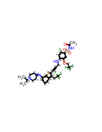 CC(=O)NS(=O)(=O)c1cc(OCC(F)(F)F)c(NCC#Cc2sc3c(NC4CCN(C(C)C)CC4)cccc3c2CC(F)(F)F)cc1F